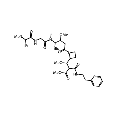 CCC(C)C(C(CC(=O)N1CCC1C(OC)C(C(=O)NCCc1ccccc1)C(=O)OC)OC)N(C)C(=O)CNC(=O)C(NC)C(C)C